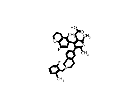 Cc1cccc(F)c1CN1CCc2cc(-c3c(C)nc(C)c(CC(=O)O)c3-c3cc(F)c4c(c3C)CCCO4)ccc2C1